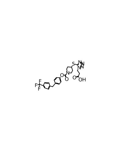 O=C(O)CCn1nnnc1SC1CCN(C(=O)Oc2ccc(Cc3ccc(C(F)(F)F)cc3)cc2)CC1